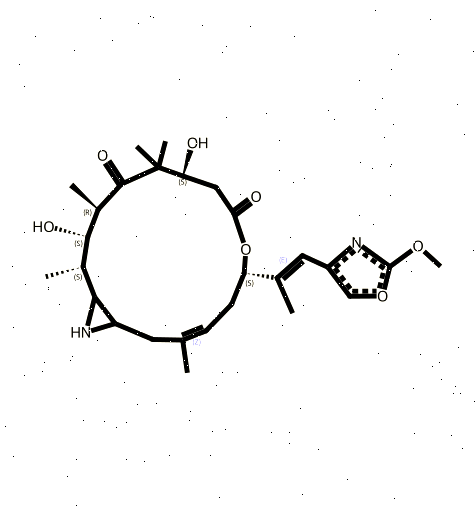 COc1nc(/C=C(\C)[C@@H]2C/C=C(/C)CC3NC3[C@H](C)[C@H](O)[C@@H](C)C(=O)C(C)(C)[C@@H](O)CC(=O)O2)co1